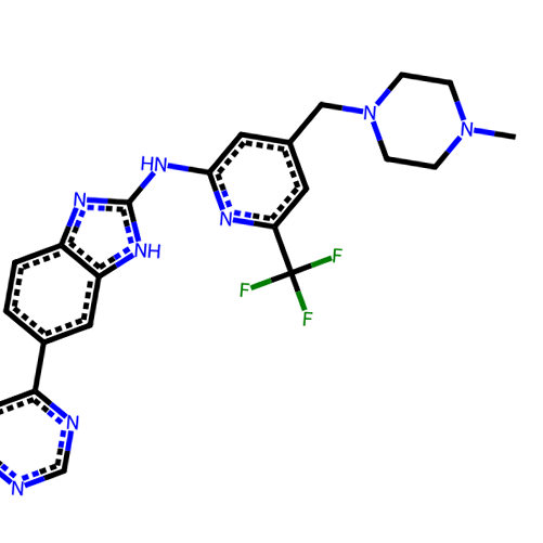 CN1CCN(Cc2cc(Nc3nc4ccc(-c5ccncn5)cc4[nH]3)nc(C(F)(F)F)c2)CC1